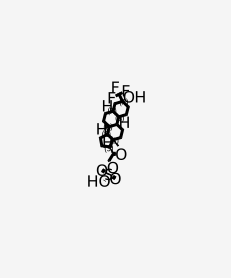 C[C@]12CCC3[C@H]4CC[C@](O)(C(F)(F)F)C[C@H]4CC[C@H]3[C@@H]1CC[C@@H]2C(=O)COS(=O)(=O)O